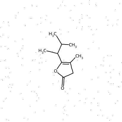 CC1=C(C(C)C(C)C)OC(=O)C1